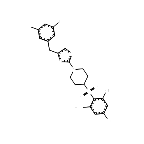 Cc1cc(C)c(S(=O)(=O)C2CCN(c3nc(Cc4cc(F)cc(F)c4)cs3)CC2)c(C)c1